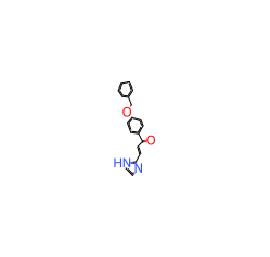 O=C(/C=C/c1ncc[nH]1)c1ccc(OCc2ccccc2)cc1